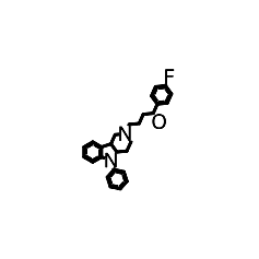 O=C(CCCN1CCC2C(C1)c1ccccc1N2c1ccccc1)c1ccc(F)cc1